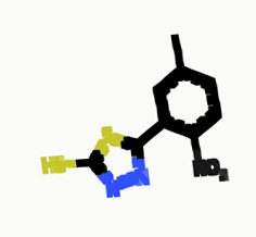 Cc1ccc([N+](=O)[O-])c(-c2nnc(S)s2)c1